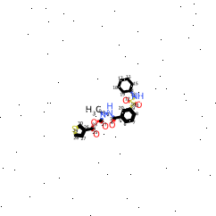 CN(NC(=O)c1cccc(S(=O)(=O)NC2CCCCC2)c1)C(=O)OC(=O)c1ccsc1